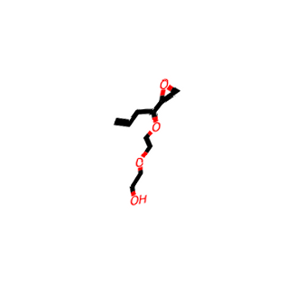 C=CCC(OCCOCCO)C1CO1